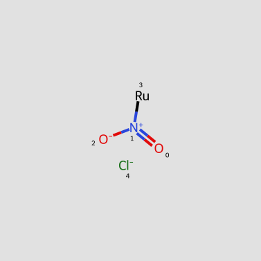 O=[N+]([O-])[Ru].[Cl-]